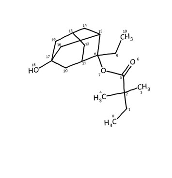 CCC(C)(C)C(=O)OC1(CC)C2CC3CC1CC(O)(C3)C2